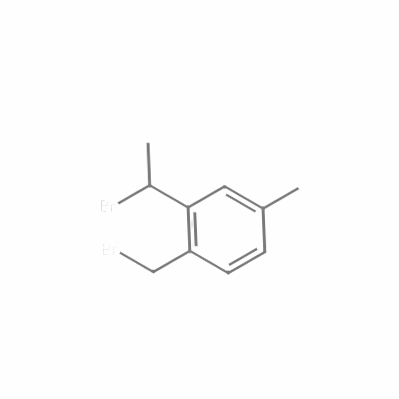 Cc1ccc(CBr)c(C(C)Br)c1